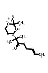 CC=CCCC(=O)C(C)(C)[C@@H]1CCOC(C)(C)O1